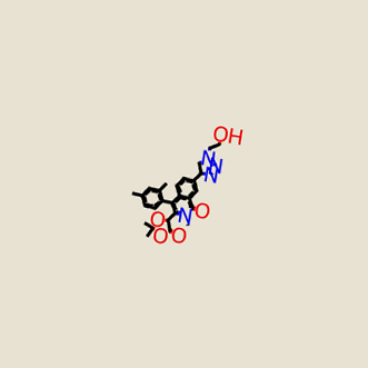 Cc1ccc(-c2c(C3OC(C)(C)OC3=O)n(C)c(=O)c3cc(C4CN(CCO)N=N4)ccc23)c(C)c1